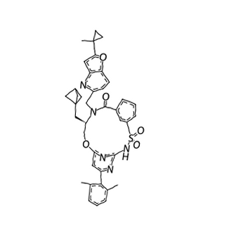 Cc1cccc(C)c1-c1cc2nc(n1)NS(=O)(=O)c1cccc(c1)C(=O)N(Cc1ccc3oc(C4(C)CC4)cc3n1)[C@H](CC13CC(C1)C3)CO2